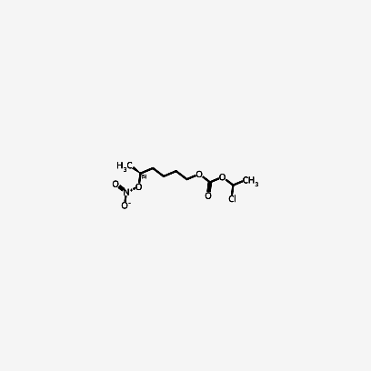 CC(Cl)OC(=O)OCCCC[C@H](C)O[N+](=O)[O-]